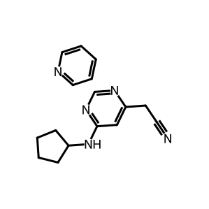 N#CCc1cc(NC2CCCC2)ncn1.c1ccncc1